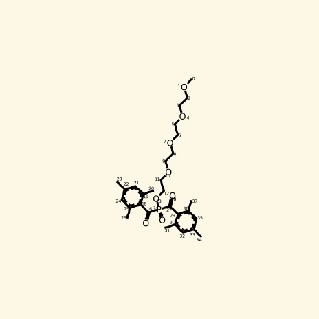 COCCOCCOCCOCCOP(=O)(C(=O)c1c(C)cc(C)cc1C)C(=O)c1c(C)cc(C)cc1C